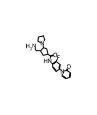 NCC1CC(C(=O)Nc2ccc(-n3ccccc3=O)cc2F)CC1N1CCCC1